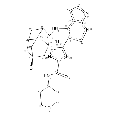 O=C(NC1CCOCC1)c1noc(-c2cnc3[nH]ccc3c2N[C@H]2C3CC4CC2C[C@@](O)(C4)C3)n1